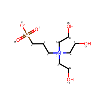 O=S(=O)([O-])CCC[N+](CCO)(CCO)CCO